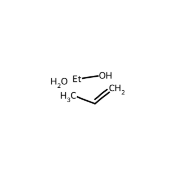 C=CC.CCO.O